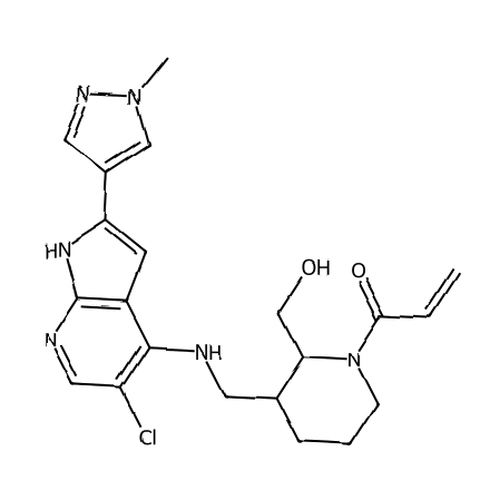 C=CC(=O)N1CCCC(CNc2c(Cl)cnc3[nH]c(-c4cnn(C)c4)cc23)C1CO